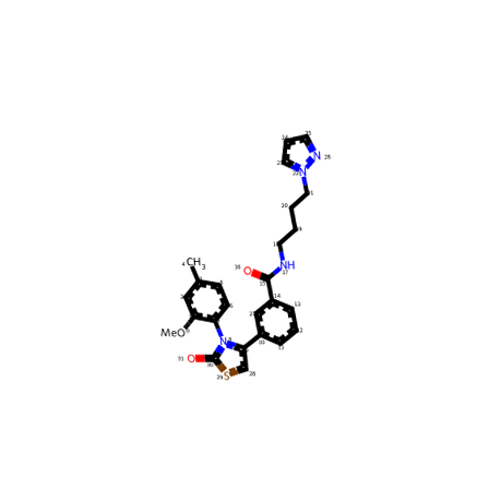 COc1cc(C)ccc1-n1c(-c2cccc(C(=O)NCCCCn3cccn3)c2)csc1=O